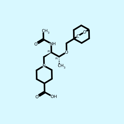 CC(=O)N[C@H](CN1CCC(C(=O)O)CC1)[C@@H](C)OCC12CCC(CC1)OC2